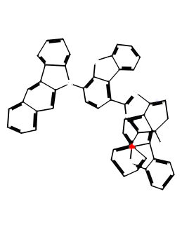 CC1C/C=C(c2ccc3oc4ccccc4c3c2)/N=C(c2ccc(-n3c4ccccc4c4cc5ccccc5cc43)c3oc4ccccc4c23)\N=C/1c1ccccc1